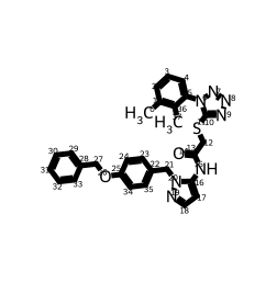 Cc1cccc(-n2nnnc2SCC(=O)Nc2ccnn2Cc2ccc(OCc3ccccc3)cc2)c1C